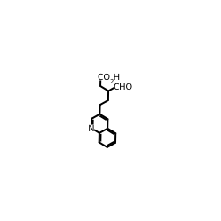 O=CC(CCc1cnc2ccccc2c1)CC(=O)O